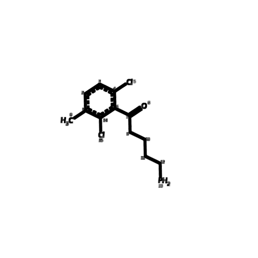 Cc1ccc(Cl)c(C(=O)CCCCP)c1Cl